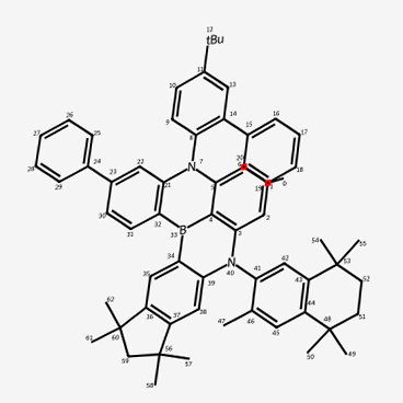 Cc1cc2c3c(c1)N(c1ccc(C(C)(C)C)cc1-c1ccccc1)c1cc(-c4ccccc4)ccc1B3c1cc3c(cc1N2c1cc2c(cc1C)C(C)(C)CCC2(C)C)C(C)(C)CC3(C)C